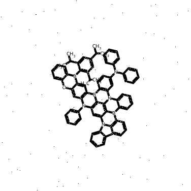 CC(C)c1cc(C(C)C)c(B2c3ccccc3Oc3cc4c(cc32)B2c3ccc(N(c5ccccc5)c5ccccc5)cc3N3c5ccccc5B5c6c(cc(c2c63)N4c2ccccc2)-n2c3ccccc3c3cccc5c32)c(C(C)C)c1